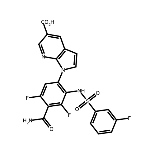 NC(=O)c1c(F)cc(-n2ccc3cc(C(=O)O)cnc32)c(NS(=O)(=O)c2cccc(F)c2)c1F